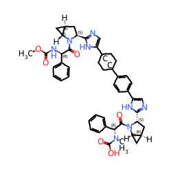 COC(=O)N[C@@H](C(=O)N1[C@@H]2C[C@H]2C[C@H]1c1ncc(C23CCC(c4ccc(-c5cnc([C@@H]6C[C@H]7C[C@H]7N6C(=O)[C@@H](c6ccccc6)N(C)C(=O)O)[nH]5)cc4)(CC2)CC3)[nH]1)c1ccccc1